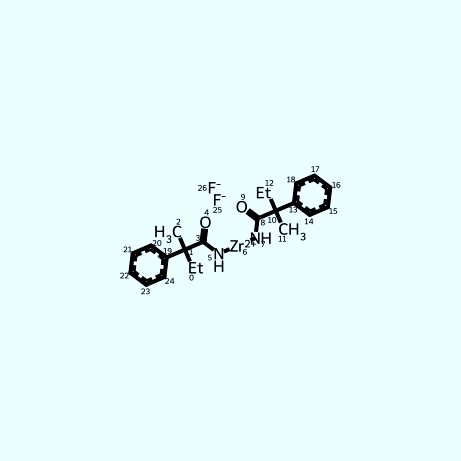 CCC(C)(C(=O)[NH][Zr+2][NH]C(=O)C(C)(CC)c1ccccc1)c1ccccc1.[F-].[F-]